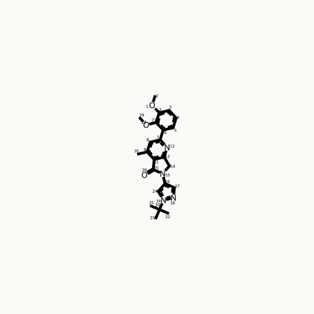 COc1cccc(-c2cc(C)c3c(n2)CN(c2cnn(C(C)(C)C)c2)C3=O)c1OC